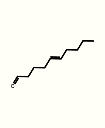 CCCC/C=C/CCCC=O